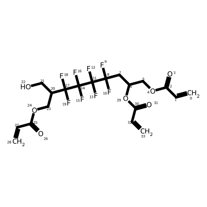 C=CC(=O)OCC(CC(F)(F)C(F)(F)C(F)(F)C(F)(F)C(CO)COC(=O)C=C)OC(=O)C=C